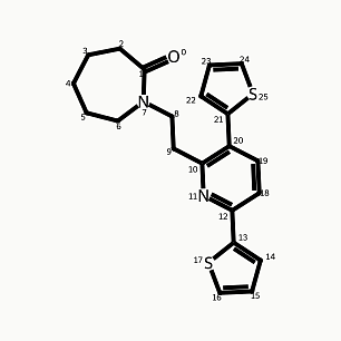 O=C1CCCCCN1CCc1nc(-c2cccs2)ccc1-c1cccs1